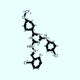 Fc1cccc(Cl)c1/C=N/Nc1nc(Nc2ccc(Cl)cc2)nc(-c2ccc(OC(F)(F)F)cc2)n1